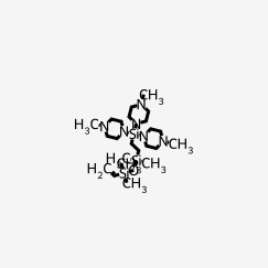 C=C[Si](C)(C)O[Si](C)(C)CC[Si](N1CCN(C)CC1)(N1CCN(C)CC1)N1CCN(C)CC1